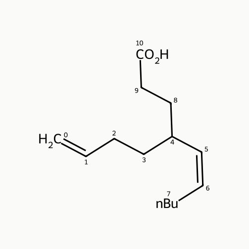 C=CCCC(/C=C\CCCC)CCC(=O)O